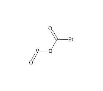 CCC(=O)[O][V]=[O]